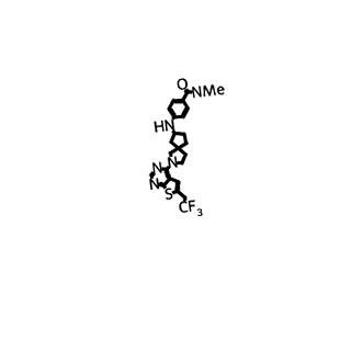 CNC(=O)c1ccc(NC2CCC3(CCN(c4ncnc5sc(CC(F)(F)F)cc45)C3)C2)cc1